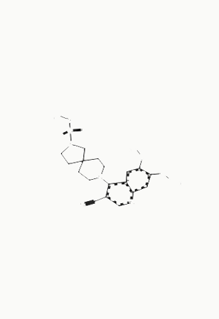 CNS(=O)(=O)N1CCC2(CCN(c3c(C#N)cnc4cc(OC)c(OC)cc34)CC2)C1